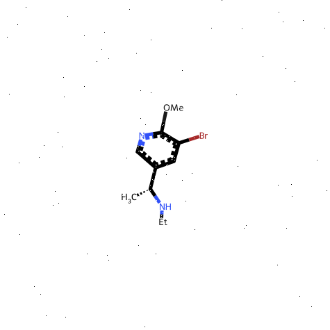 CCN[C@H](C)c1cnc(OC)c(Br)c1